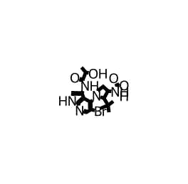 CC(O)C(=O)Nc1c[nH]c2ncc(Br)c(N3CCC(NC(=O)O)C3C(C)(C)C)c12